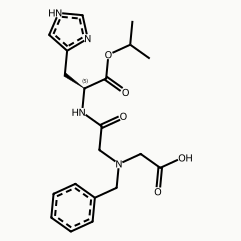 CC(C)OC(=O)[C@H](Cc1c[nH]cn1)NC(=O)CN(CC(=O)O)Cc1ccccc1